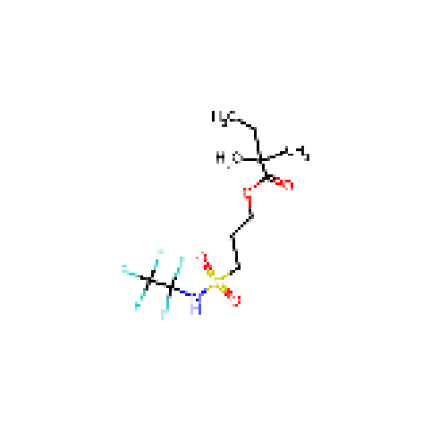 CCC(C)(C)C(=O)OCCCS(=O)(=O)NC(F)(F)C(F)(F)F